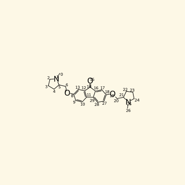 CN1CCCC1COc1ccc2c(c1)C(=O)c1cc(OCC3CCCN3C)ccc1-2